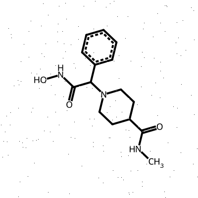 CNC(=O)C1CCN(C(C(=O)NO)c2ccccc2)CC1